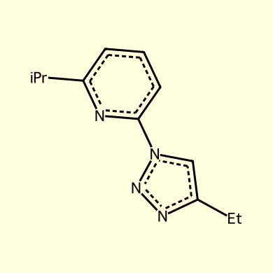 CCc1cn(-c2cccc(C(C)C)n2)nn1